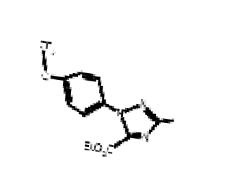 CCOC(=O)c1nc(C)nn1-c1ccc(OC(F)(F)F)cc1